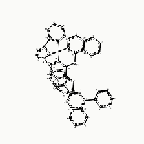 c1ccc(-c2nc(-c3ccc(-c4cccc5c4C4(c6ccccc6-5)c5ccc6ccccc6c5Sc5c4ccc4ccccc54)cc3)nc3ccccc23)cc1